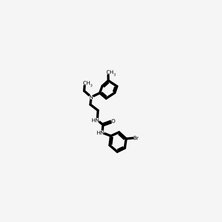 CCN(CCNC(=O)Nc1cccc(Br)c1)c1cccc(C)c1